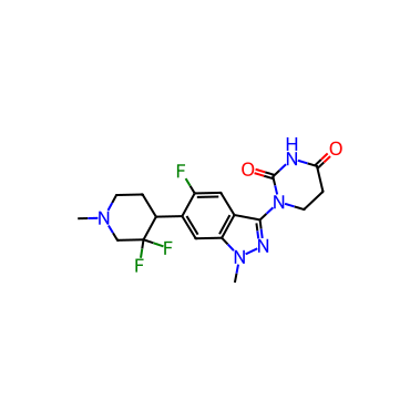 CN1CCC(c2cc3c(cc2F)c(N2CCC(=O)NC2=O)nn3C)C(F)(F)C1